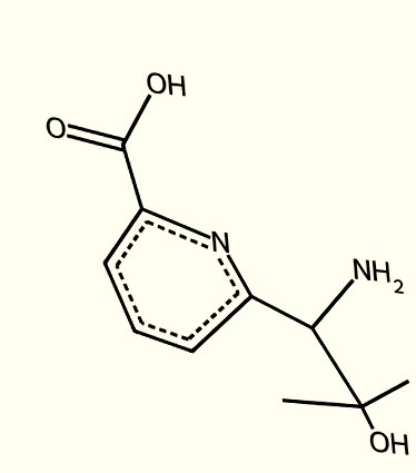 CC(C)(O)C(N)c1cccc(C(=O)O)n1